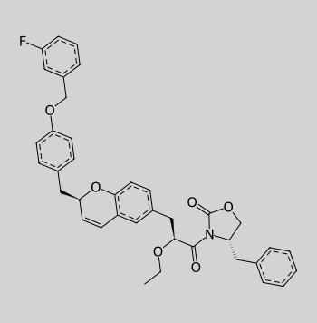 CCO[C@@H](Cc1ccc2c(c1)C=C[C@@H](Cc1ccc(OCc3cccc(F)c3)cc1)O2)C(=O)N1C(=O)OC[C@@H]1Cc1ccccc1